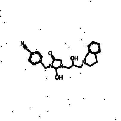 N#Cc1ccc(CN2C(=O)CN(CC(O)CN3CCc4ccccc4C3)C2O)cc1